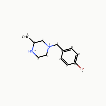 O=CC1CN(Cc2ccc(Br)cc2)CCN1